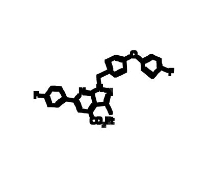 CCOC(=O)c1cc(-c2ccc(F)cc2)nc2c1c(C)nn2Cc1ccc(Oc2ccc(F)cc2)cc1